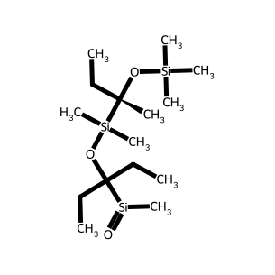 CCC(CC)(O[Si](C)(C)[C@](C)(CC)O[Si](C)(C)C)[Si](C)=O